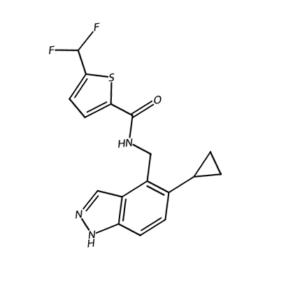 O=C(NCc1c(C2CC2)ccc2[nH]ncc12)c1ccc(C(F)F)s1